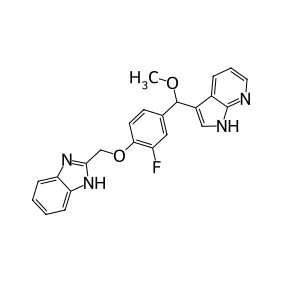 COC(c1ccc(OCc2nc3ccccc3[nH]2)c(F)c1)c1c[nH]c2ncccc12